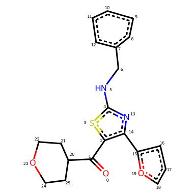 O=C(c1sc(NCc2ccccc2)nc1-c1ccco1)C1CCOCC1